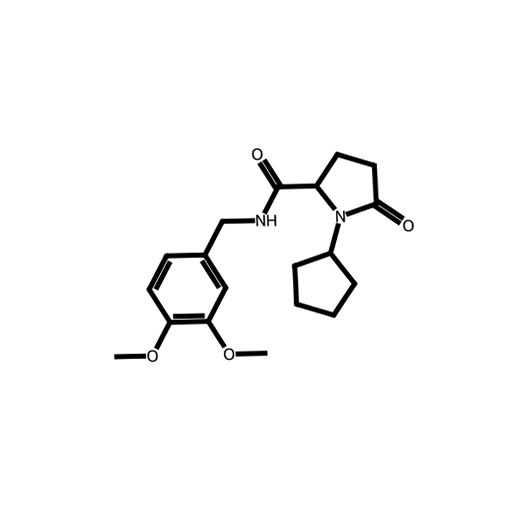 COc1ccc(CNC(=O)C2CCC(=O)N2C2CCCC2)cc1OC